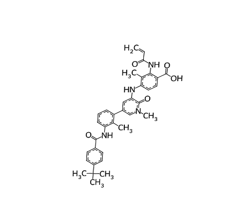 C=CC(=O)Nc1c(C(=O)O)ccc(Nc2cc(-c3cccc(NC(=O)c4ccc(C(C)(C)C)cc4)c3C)cn(C)c2=O)c1C